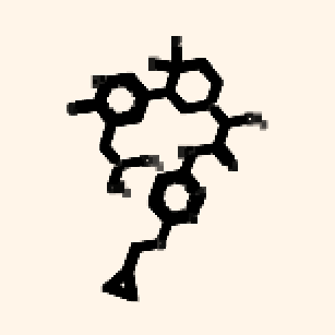 CC(C(=O)Nc1ccc(OCC2CC2)nn1)N1CCC(F)(F)C(c2c[nH]c(=O)c(CN(C)C)c2)C1